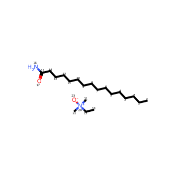 CCCCCCCCCCCCCCCC(N)=O.CC[N+](C)(C)[O-]